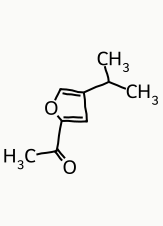 CC(=O)c1cc(C(C)C)co1